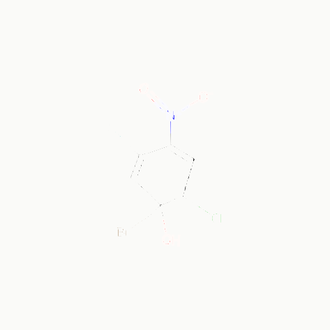 O=[N+]([O-])C1=CC(Cl)C(O)(Br)C=C1F